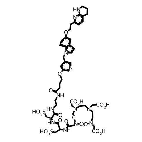 O=C(O)CN1CCN(CC(=O)O)CCN(CC(=O)NC(CS(=O)(=O)O)C(=O)N[C@@H](CS(=O)(=O)O)C(=O)NCCNC(=O)CCCOc2cncc(Cn3ccc4cc(OCCc5ccc6c(n5)NCCC6)ccc43)c2)CCN(CC(=O)O)CC1